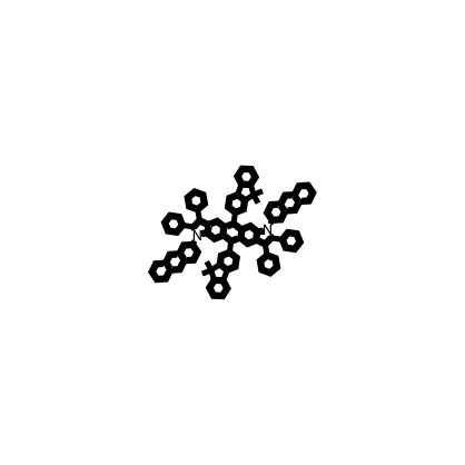 CC1(C)c2ccccc2-c2ccc(-c3c4cc5c(-c6ccccc6)c(-c6ccccc6)n(-c6ccc7cc8ccccc8cc7c6)c5cc4c(-c4ccc5c(c4)C(C)(C)c4ccccc4-5)c4cc5c(-c6ccccc6)c(-c6ccccc6)n(-c6ccc7cc8ccccc8cc7c6)c5cc34)cc21